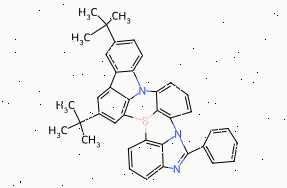 CC(C)(C)c1ccc2c(c1)c1cc(C(C)(C)C)cc3c1n2-c1cccc2c1B3c1cccc3nc(-c4ccccc4)n-2c13